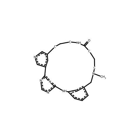 CN1CCCC(=O)NCCCc2cncc(c2)-c2ncnc(n2)Nc2cccc(c2)C1